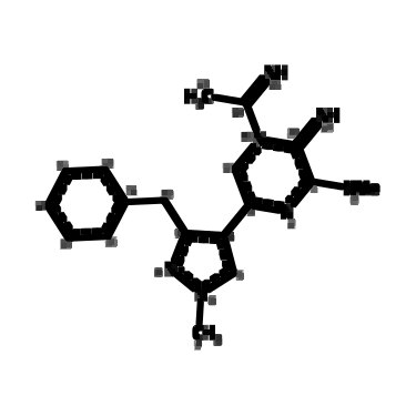 CNc1nc(-c2cn(C)nc2Cc2ccccc2)cn(C(C)=N)c1=N